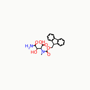 CN(C(=O)OCC1c2ccccc2-c2ccccc21)C(C(=O)O)C(O)C(N)=O